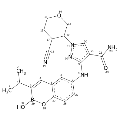 CC(C)C1=Cc2cc(Nc3nn(C4COCCC4C#N)cc3C(N)=O)ccc2OB1O